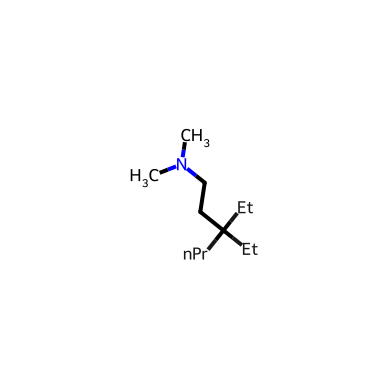 CCCC(CC)(CC)CCN(C)C